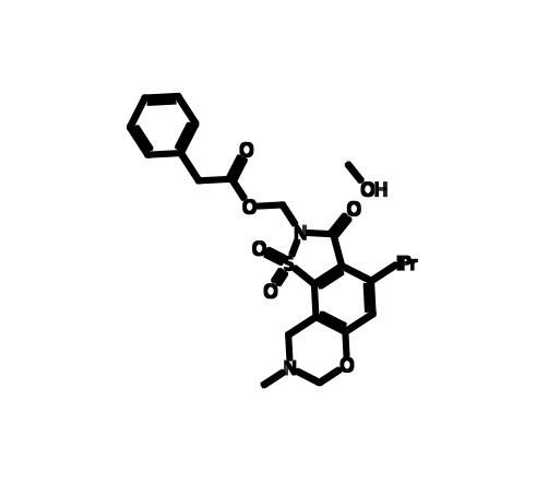 CC(C)c1cc2c(c3c1C(=O)N(COC(=O)Cc1ccccc1)S3(=O)=O)CN(C)CO2.CO